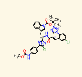 COC(=O)Nc1ccc(-c2nc([C@H](Cc3cn(C(=O)OC(C)(C)C)c4ccccc34)NC(=O)/C=C/c3cc(Cl)ccc3-n3cnnn3)[nH]c2Cl)cc1